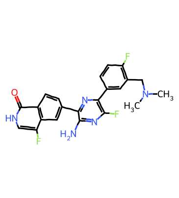 CN(C)Cc1cc(-c2nc(-c3ccc4c(=O)[nH]cc(F)c4c3)c(N)nc2F)ccc1F